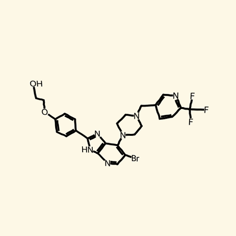 OCCOc1ccc(-c2nc3c(N4CCN(Cc5ccc(C(F)(F)F)nc5)CC4)c(Br)cnc3[nH]2)cc1